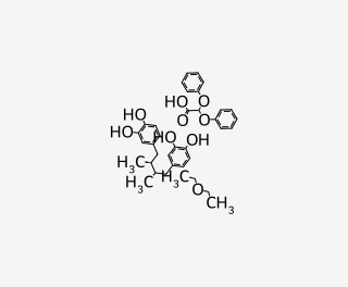 CCOCC.C[C@H](Cc1ccc(O)c(O)c1)[C@@H](C)Cc1ccc(O)c(O)c1.O=C(O)C(Oc1ccccc1)Oc1ccccc1